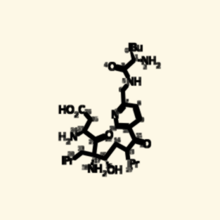 CC[C@H](C)[C@H](N)C(=O)NCc1ccc(C(=O)C(C[C@H](O)[C@@](N)(CC(C)C)C(=O)[C@@H](N)CC(=O)O)C(C)C)cn1